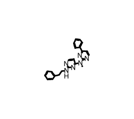 CN(c1ccnc(NCCc2ccccc2)n1)c1nccc(-c2ccccc2)n1